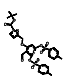 Cc1ccc(S(=O)(=O)Oc2cc(OCc3ccn(C(=O)OC(C)(C)C)n3)c(C=O)c(OS(=O)(=O)c3ccc(C)cc3)c2)cc1